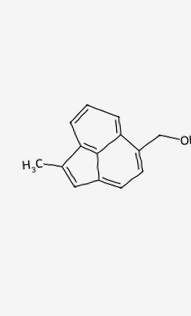 CC1=Cc2ccc(CO)c3cccc1c23